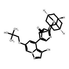 CC(C)C(=O)N[C@]12C[C@@H]3C[C@H](C1)N(c1ccc(-c4cc(OCC(C)(C)O)cn5ncc(C#N)c45)cn1)[C@@H](C3)C2